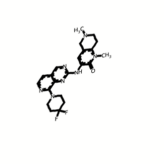 CN1CCc2c(cc(Nc3ncc4ccnc(N5CCC(F)(F)CC5)c4n3)c(=O)n2C)C1